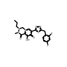 CCCN1Cn2cc(-c3nnc(Cc4ccc(F)cc4F)s3)c(=O)c(O)c2C(=O)N1C